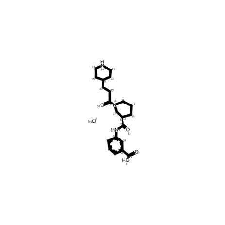 Cl.O=C(O)c1cccc(NC(=O)[C@@H]2CCCN(C(=O)CCC3CCNCC3)C2)c1